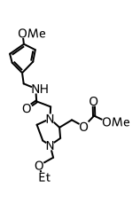 CCOCN1CCN(CC(=O)NCc2ccc(OC)cc2)C(COC(=O)OC)C1